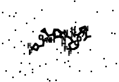 CC(C)n1nccc1C(=O)N[C@H](c1nc2ccc([C@H](NC(=O)CC3CC(F)(F)C3)C3CC3)cc2[nH]1)C1CC(F)(F)CCO1